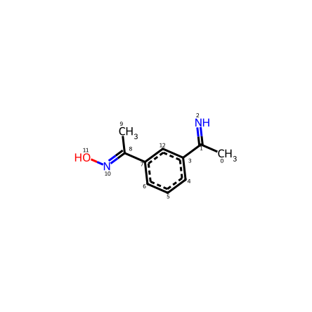 CC(=N)c1cccc(/C(C)=N/O)c1